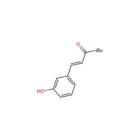 CCC(C)C(=O)/C=C/c1cccc(O)c1